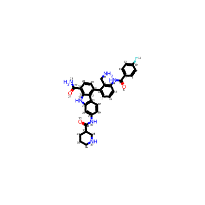 NCc1c(NC(=O)c2ccc(F)cc2)cccc1-c1ccc(C(N)=O)c2[nH]c3cc(NC(=O)C4CCCNC4)ccc3c12